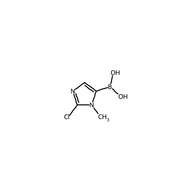 Cn1c(B(O)O)cnc1Cl